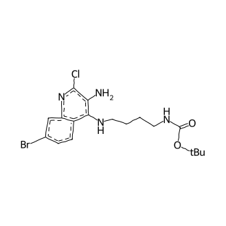 CC(C)(C)OC(=O)NCCCCNc1c(N)c(Cl)nc2cc(Br)ccc12